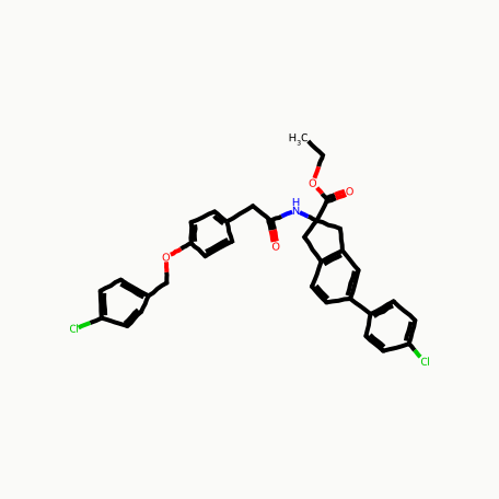 CCOC(=O)C1(NC(=O)Cc2ccc(OCc3ccc(Cl)cc3)cc2)Cc2ccc(-c3ccc(Cl)cc3)cc2C1